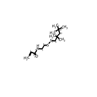 C=CC(=O)NCCSSCC(C)(C)CC(C)(C)C